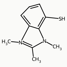 Cc1n(C)c2c(S)cccc2[n+]1C